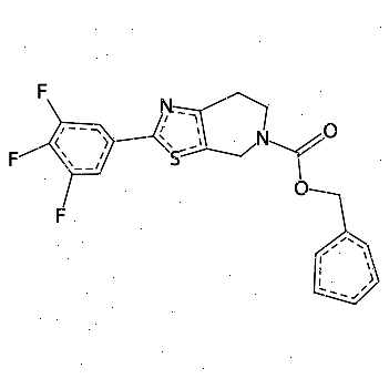 O=C(OCc1ccccc1)N1CCc2nc(-c3cc(F)c(F)c(F)c3)sc2C1